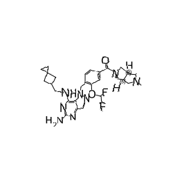 CN1C[C@@H]2CN(C(=O)c3ccc(Cn4ncc5nc(N)nc(NCC6CC7(CC7)C6)c54)c(OC(F)F)c3)C[C@@H]2C1